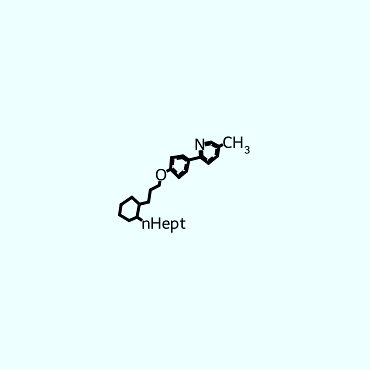 CCCCCCCC1CCCCC1CCCOc1ccc(-c2ccc(C)cn2)cc1